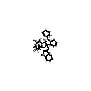 CN1C(=O)C23CC4(Cc5c[nH]c6ccccc56)c5ccccc5N(c5ccccc5)[C@@H]4N2C(=O)[C@H]1SC(=O)S3